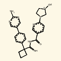 N=C(NC(=O)c1ccc(N2CC[C@@H](O)C2)nc1)C1(c2ccc(-c3cnc(N)nc3)cc2)CCC1